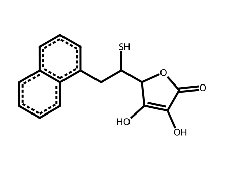 O=C1OC(C(S)Cc2cccc3ccccc23)C(O)=C1O